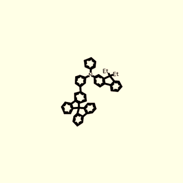 CCC1(CC)c2ccccc2-c2ccc(N(c3ccccc3)c3cccc(-c4ccc5c(c4)-c4ccccc4C54c5ccccc5-c5ccccc54)c3)cc21